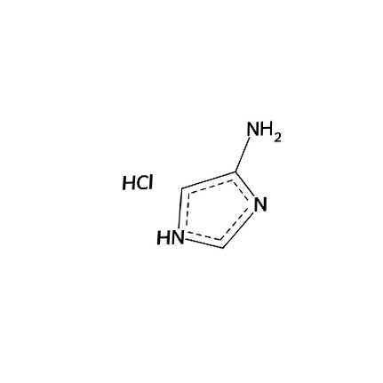 Cl.Nc1c[nH]cn1